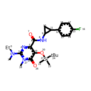 CCN(C)c1nc(C(=O)NC2CC2c2ccc(F)cc2)c(O[Si](C)(C)C(C)(C)C)c(=O)n1C